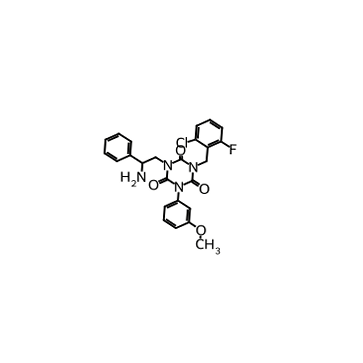 COc1cccc(-n2c(=O)n(Cc3c(F)cccc3Cl)c(=O)n(CC(N)c3ccccc3)c2=O)c1